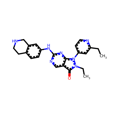 CCc1cc(-n2c3nc(Nc4ccc5c(c4)CNCC5)ncc3c(=O)n2CC)ccn1